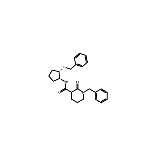 O=C(N[C@H]1CCC[C@@H]1OCc1ccccc1)C1CCCN(Cc2ccccc2)C1=O